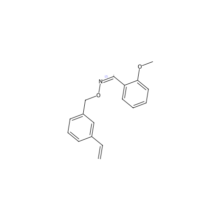 C=Cc1cccc(CO/N=[C]\c2ccccc2OC)c1